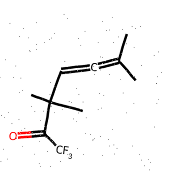 CC(C)=C=CC(C)(C)C(=O)C(F)(F)F